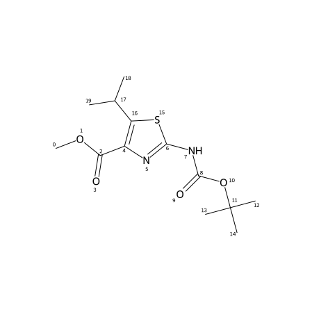 COC(=O)c1nc(NC(=O)OC(C)(C)C)sc1C(C)C